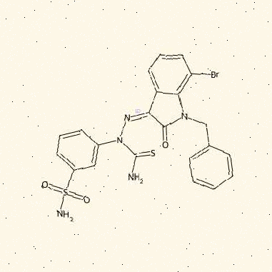 NC(=S)N(/N=C1\C(=O)N(Cc2ccccc2)c2c(Br)cccc21)c1cccc(S(N)(=O)=O)c1